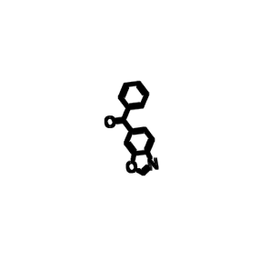 O=C(c1ccccc1)c1ccc2ncoc2c1